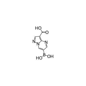 O=C(O)c1cnn2cc(B(O)O)cnc12